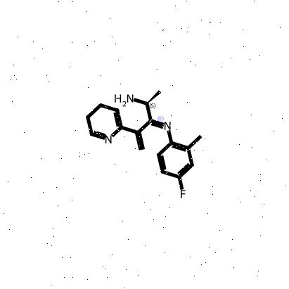 C=C(C1=CCCC=N1)/C(=N\c1ccc(F)cc1C)[C@H](C)N